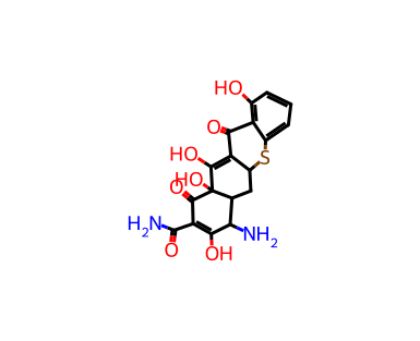 NC(=O)C1=C(O)C(N)C2CC3Sc4cccc(O)c4C(=O)C3=C(O)C2(O)C1=O